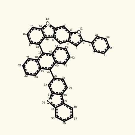 c1ccc(-c2cc3cc4c(cc3o2)oc2cccc(-c3c5ccccc5c(-c5ccc6c(c5)sc5ccccc56)c5ccccc35)c24)cc1